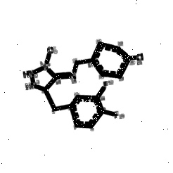 [O-][S+]1NNC(Cc2ccc(F)c(F)c2)C1=NCc1ccc(Cl)cc1